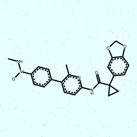 CN[S+]([O-])c1ccc(-c2ccc(NC(=O)C3(c4ccc5c(c4)OCO5)CC3)nc2C)cc1